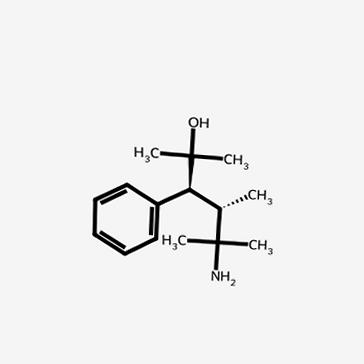 C[C@@H]([C@@H](c1ccccc1)C(C)(C)O)C(C)(C)N